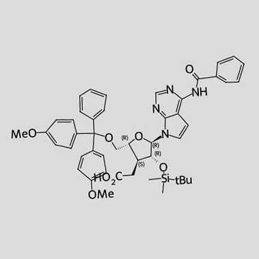 COc1ccc(C(OC[C@@H]2O[C@@H](n3ccc4c(NC(=O)c5ccccc5)ncnc43)[C@H](O[Si](C)(C)C(C)(C)C)[C@H]2CC(=O)O)(c2ccccc2)c2ccc(OC)cc2)cc1